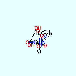 CC1(C)C(=O)N(C2CCN(C(=O)[C@H](CCc3ccccc3)NC(=O)[C@@H]3CCCNC3)CC2)c2ccccc21.O=C(O)CCCCCCCCC(=O)O